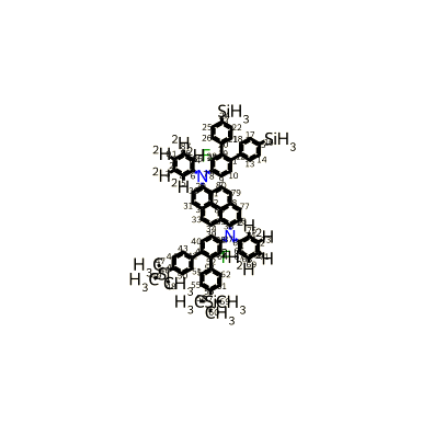 [2H]c1c([2H])c([2H])c(N(c2ccc(-c3ccc([SiH3])cc3)c(-c3ccc([SiH3])cc3)c2F)c2ccc3ccc4c(N(c5ccc(-c6ccc([Si](C)(C)C)cc6)c(-c6ccc([Si](C)(C)C)cc6)c5F)c5c([2H])c([2H])c([2H])c([2H])c5[2H])ccc5ccc2c3c54)c([2H])c1[2H]